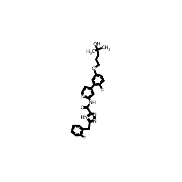 CC(C)(O)CCCOc1ccc(F)c(-c2ccnc(NC(=O)c3nnc(Cc4ccccc4F)[nH]3)c2)c1